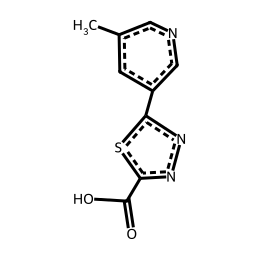 Cc1cncc(-c2nnc(C(=O)O)s2)c1